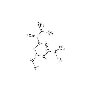 [CH2]CCOC(COC(=O)C(=C)C)OC(=O)C(=C)C